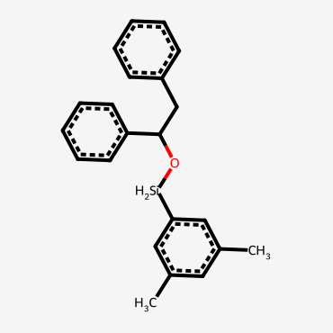 Cc1cc(C)cc([SiH2]OC(Cc2ccccc2)c2ccccc2)c1